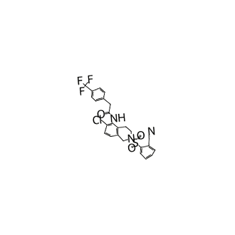 N#Cc1ccccc1S(=O)(=O)N1CCc2c(ccc(Cl)c2NC(=O)Cc2ccc(C(F)(F)F)cc2)C1